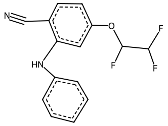 N#Cc1ccc(OC(F)C(F)F)cc1Nc1ccccc1